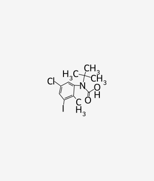 Cc1c(I)cc(Cl)cc1N(C(=O)O)C(C)(C)C